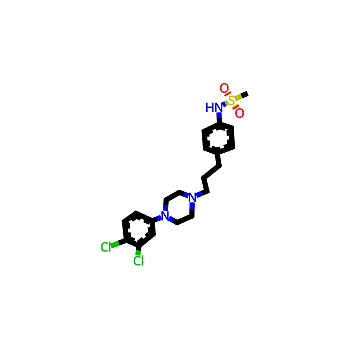 CS(=O)(=O)Nc1ccc(CCCN2CCN(c3ccc(Cl)c(Cl)c3)CC2)cc1